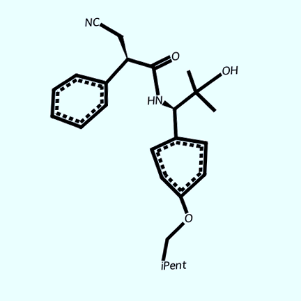 CCCC(C)COc1ccc([C@@H](NC(=O)[C@H](CC#N)c2ccccc2)C(C)(C)O)cc1